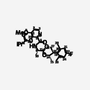 COc1ccnc(C(=O)N[C@@H](C)C(=O)O[C@@H](C)[C@@H](C)c2c(C)cc(F)cc2C)c1OC(=O)C(C)C